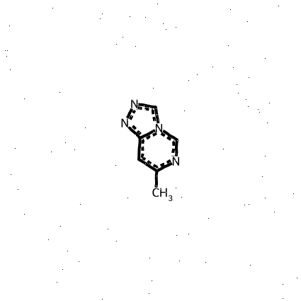 Cc1cc2nncn2cn1